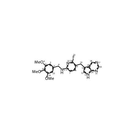 COc1cc(CNc2ccc(Cc3c[nH]c4ncncc34)c(F)n2)cc(OC)c1OC